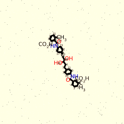 Cc1cccc(C(=O)Nc2ccc(CCC(O)C(O)CCc3ccc(NC(=O)c4c(C)cccc4C(=O)O)cc3)cc2)c1C(=O)O